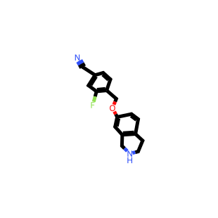 N#Cc1ccc(COc2ccc3c(c2)CNCC3)c(F)c1